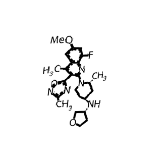 COc1cc(F)c2nc(N3CC[C@H](N[C@@H]4CCOC4)C[C@H]3C)c(-c3nc(C)no3)c(C)c2c1